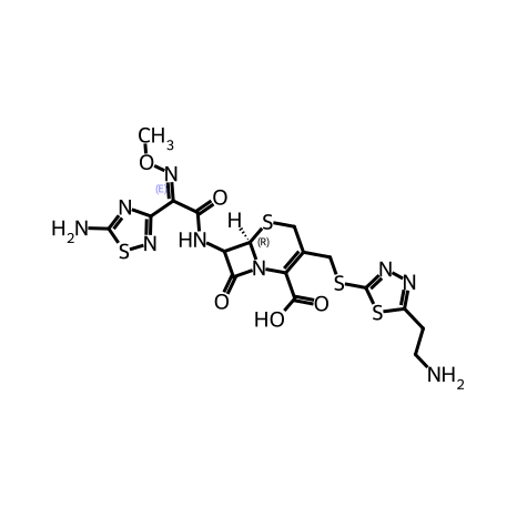 CO/N=C(/C(=O)NC1C(=O)N2C(C(=O)O)=C(CSc3nnc(CCN)s3)CS[C@H]12)c1nsc(N)n1